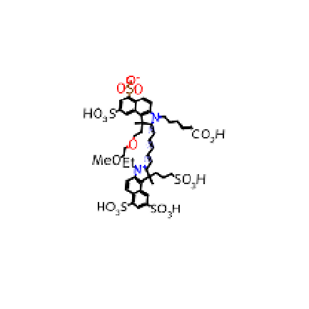 CC[N+]1=C(/C=C/C=C/C=C2/N(CCCCCC(=O)O)c3ccc4c(S(=O)(=O)[O-])cc(S(=O)(=O)O)cc4c3C2(C)CCOCCOC)C(C)(CCCS(=O)(=O)O)c2c1ccc1c(S(=O)(=O)O)cc(S(=O)(=O)O)cc21